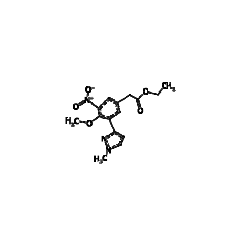 CCOC(=O)Cc1cc(-c2ccn(C)n2)c(OC)c([N+](=O)[O-])c1